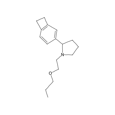 CCCOCCN1CCCC1c1ccc2c(c1)CC2